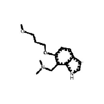 COCCCOc1ccc2[c]c[nH]c2c1CN(C)C